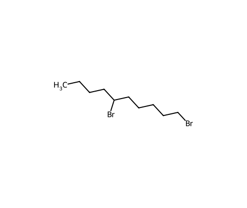 CCCCC(Br)CCCCCBr